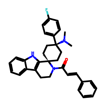 CN(C)[C@]1(c2ccc(F)cc2)CC[C@@]2(CC1)c1[nH]c3ccccc3c1CCN2C(=O)/C=C/c1ccccc1